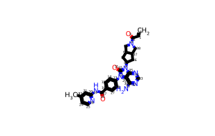 C=CC(=O)N1CC2CC(n3c(=O)n(-c4ccc(C(=O)Nc5cc(C)ccn5)cc4)c4c(N)ncnc43)CC2C1